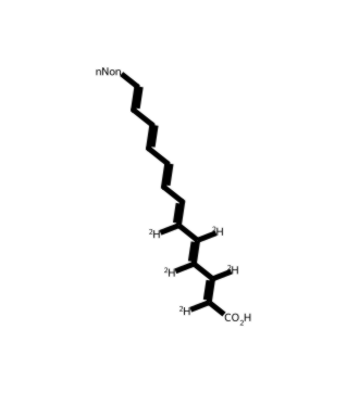 [2H]C(=CC=CC=CC=CCCCCCCCCC)C([2H])=C([2H])C([2H])=C([2H])C(=O)O